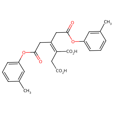 Cc1cccc(OC(=O)CC(CC(=O)Oc2cccc(C)c2)=C(CC(=O)O)C(=O)O)c1